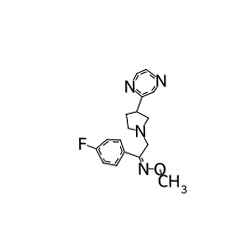 CO/N=C(\CN1CCC(c2cnccn2)C1)c1ccc(F)cc1